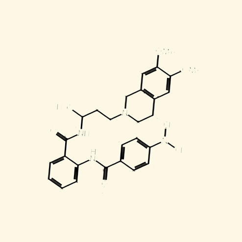 COc1cc2c(cc1OC)CN(CCC(C)NC(=O)c1ccccc1NC(=O)c1ccc(N(C)C)cc1)CC2